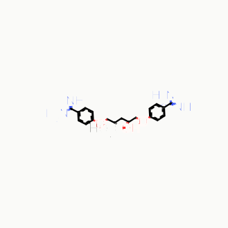 N=C(N)c1ccc(OCCCCCOc2ccc(C(=N)N)cc2)cc1.O=C(O)O